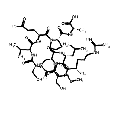 CSCC[C@H](NC(=O)[C@H](CC(C)C)NC(=O)[C@H](CS)NC(=O)[C@H](CO)NC(=O)[C@@H](N)CCCNC(=N)N)C(=O)N[C@@H](CO)C(=O)N[C@H](C(=O)N[C@@H](CCC(=O)O)C(=O)N1CCC[C@H]1C(=O)N[C@@H](C)C(=O)O)C(C)C